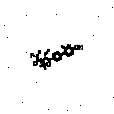 Cc1nc(O)ccc1-c1ccc([C@H]2OC(C)(C)N(C(=O)C(F)F)[C@@H]2CF)cc1